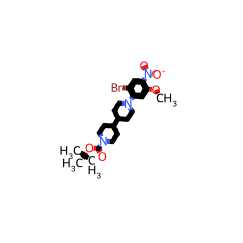 COc1cc(N2CCC(C3CCN(C(=O)OC(C)(C)C)CC3)CC2)c(Br)cc1[N+](=O)[O-]